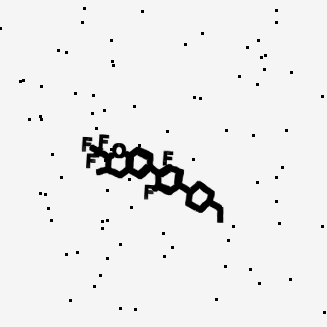 CCC1CCC(c2cc(F)c(-c3ccc4c(c3)CC(C)C(C(F)(F)F)O4)c(F)c2)CC1